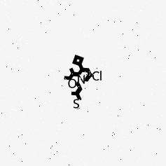 CC/C(C)=C1/C(C2CCC2)=CC(Cl)=CN1C(=O)/C=C(\C)CSC